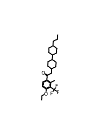 CCCC1CCC(C2CCC(CC(=O)c3ccc(OCC)c(C(F)(F)F)c3C)CC2)CC1